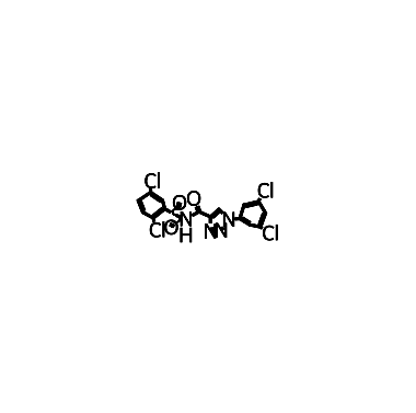 O=C(NS(=O)(=O)c1cc(Cl)ccc1Cl)c1cn(-c2cc(Cl)cc(Cl)c2)nn1